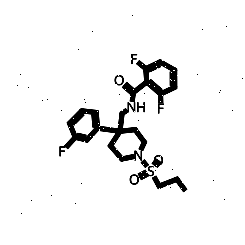 CCCS(=O)(=O)N1CCC(CNC(=O)c2c(F)cccc2F)(c2cccc(F)c2)CC1